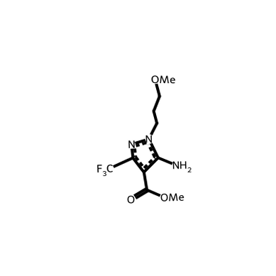 COCCCn1nc(C(F)(F)F)c(C(=O)OC)c1N